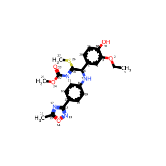 CCOc1cc(C(Nc2ccc(-c3noc(C)n3)cc2)C(=NC(=O)OC)SC)ccc1O